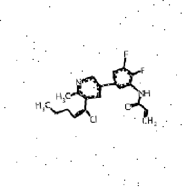 C=CC(=O)Nc1cc(-c2cnc(C)c(/C(Cl)=C\CCC)c2)cc(F)c1F